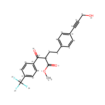 COC(=O)C(CCc1ccc(C#CCO)cc1)C(=O)c1ccc(C(F)(F)F)cc1